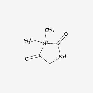 C[N+]1(C)C(=O)CNC1=O